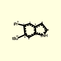 CC(C)c1cc2cc[nH]c2cc1C(C)(C)C